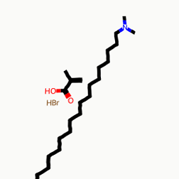 Br.C=C(C)C(=O)O.CCCCCCCCCCCCCCCCCCN(C)C